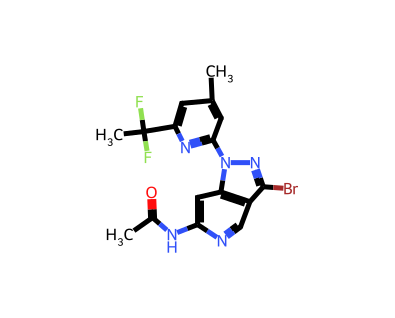 CC(=O)Nc1cc2c(cn1)c(Br)nn2-c1cc(C)cc(C(C)(F)F)n1